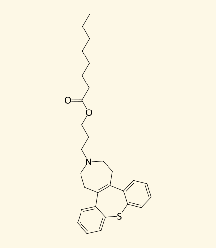 CCCCCCCC(=O)OCCCN1CCC2=C(CC1)c1ccccc1Sc1ccccc12